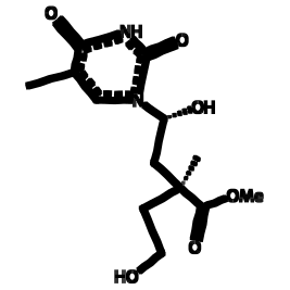 COC(=O)[C@@](C)(CCO)C[C@@H](O)n1cc(C)c(=O)[nH]c1=O